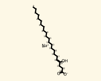 CCCCCCCCCCCCCCCCCCC=C(O)CCC(=O)[O-].[Na+]